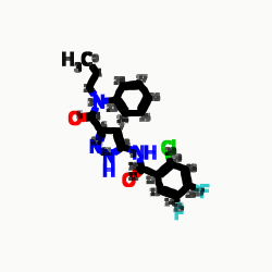 CCCN(C(=O)c1cc(NC(=O)c2cc(F)c(F)cc2Cl)[nH]n1)c1ccccc1